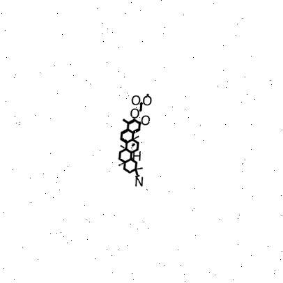 CC[C@@]12CC[C@@]3(C)C4=CC(=O)C(OCC(=O)OC)=C(C)C4=CC=C3[C@@]1(C)CC[C@@]1(C)CC[C@@](C)(C#N)C[C@H]12